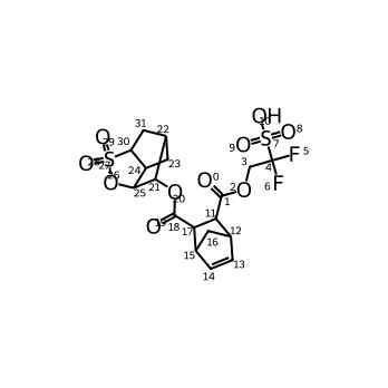 O=C(OCC(F)(F)S(=O)(=O)O)C1C2C=CC(C2)C1C(=O)OC1C2CC3C1OS(=O)(=O)C3C2